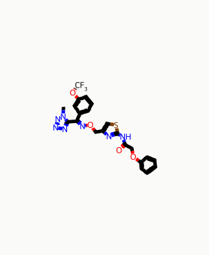 Cn1nnnc1C(=NOCc1csc(NC(=O)COc2ccccc2)n1)c1cccc(OC(F)(F)F)c1